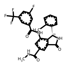 CNC(=O)c1cc(NC(=O)c2cc(F)cc(C(F)(F)F)c2)c2c(c1)C(=O)N[C@H]2c1ccccc1C